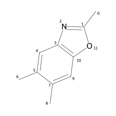 Cc1nc2cc(C)c(C)cc2o1